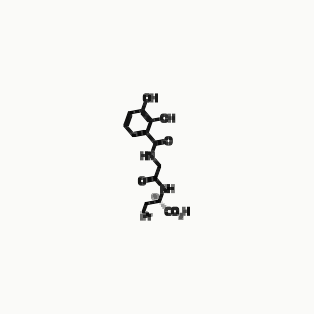 CC(C)C[C@H](NC(=O)CNC(=O)c1cccc(O)c1O)C(=O)O